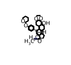 C/C=C1\O[C@]12CC[C@H]1[C@@H]3CC[C@@]4(O)CC5(CCC4=C3[C@@H](c3ccc(OC4CCCCO4)cc3)C[C@@]12C)OCCO5